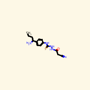 CCCC(N)c1ccc(NC(=S)NNC(=O)CC#N)cc1